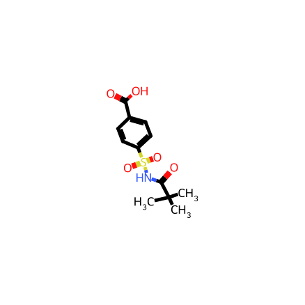 CC(C)(C)C(=O)NS(=O)(=O)c1ccc(C(=O)O)cc1